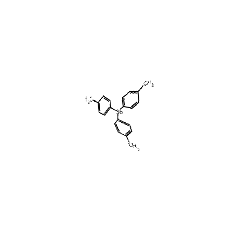 Cc1cc[c]([Sb]([c]2ccc(C)cc2)[c]2ccc(C)cc2)cc1